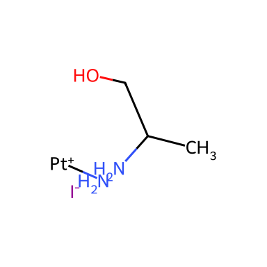 CC(N)CO.[I-].[NH2][Pt+]